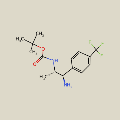 C[C@H](NC(=O)OC(C)(C)C)[C@H](N)c1ccc(C(F)(F)F)cc1